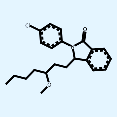 CCCCC(CCC1c2ccccc2C(=O)N1c1ccc(Cl)cc1)OC